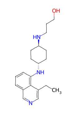 CCc1cncc2cccc(N[C@H]3CC[C@H](NCCCO)CC3)c12